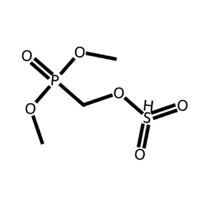 COP(=O)(CO[SH](=O)=O)OC